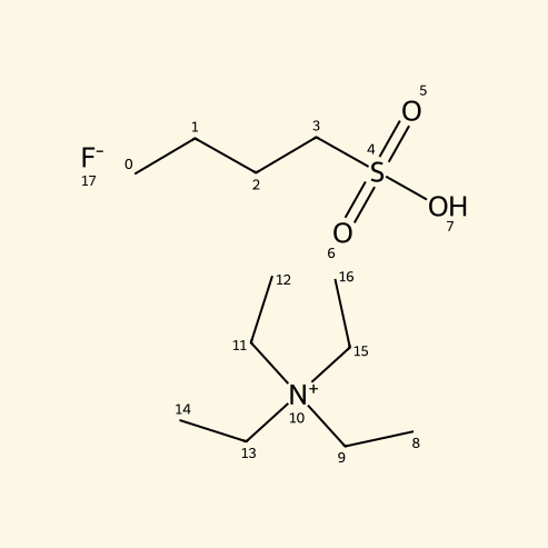 CCCCS(=O)(=O)O.CC[N+](CC)(CC)CC.[F-]